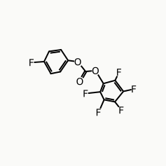 O=C(Oc1ccc(F)cc1)Oc1c(F)c(F)c(F)c(F)c1F